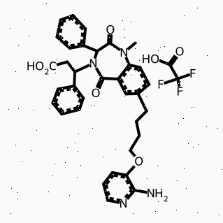 CN1C(=O)C(c2ccccc2)N(C(CC(=O)O)c2ccccc2)C(=O)c2cc(CCCCOc3cccnc3N)ccc21.O=C(O)C(F)(F)F